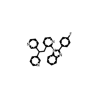 Fc1ccc(-c2nc3ccccc3n2-c2ncccc2CC(c2cccnc2)c2cccnc2)cc1